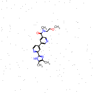 COCCN(C)C(=O)c1cncc(-c2ccnc(-c3nc(C)c(C)[nH]3)c2)c1